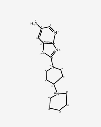 Nc1cnc2nc(N3CCC(N4CCCCC4)CC3)sc2c1